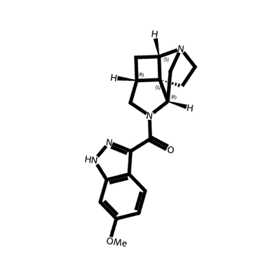 COc1ccc2c(C(=O)N3C[C@@H]4C[C@@H]5N6CC[C@]45[C@@H]3C6)n[nH]c2c1